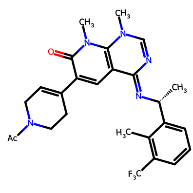 CC(=O)N1CC=C(c2cc3/c(=N/[C@H](C)c4cccc(C(F)(F)F)c4C)ncn(C)c3n(C)c2=O)CC1